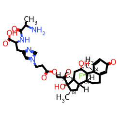 CC(N)C(=O)NC(Cc1cn(CCC(=O)OCC(=O)[C@@]2(O)[C@@H](C)C[C@H]3[C@@H]4CCC5=CC(=O)C=C[C@]5(C)[C@@]4(F)[C@@H](O)C[C@@]32C)cn1)C(=O)O